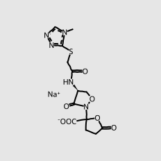 Cn1cnnc1SCC(=O)N[C@H]1CON(C2(C(=O)[O-])CCC(=O)O2)C1=O.[Na+]